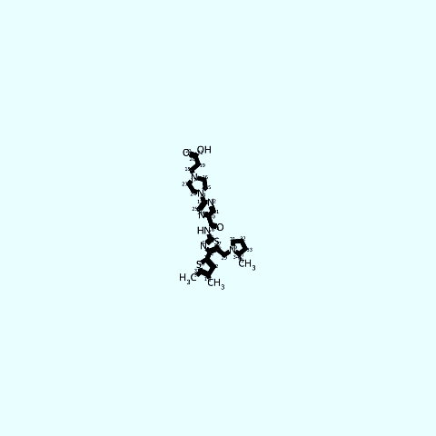 Cc1cc(-c2nc(NC(=O)c3cnc(N4CCN(CCC(=O)O)CC4)cn3)sc2CN2CCC[C@H]2C)sc1C